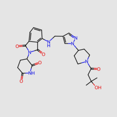 CC(C)(O)CC(=O)N1CCC(n2cc(CNc3cccc4c3C(=O)N(C3CCC(=O)NC3=O)C4=O)cn2)CC1